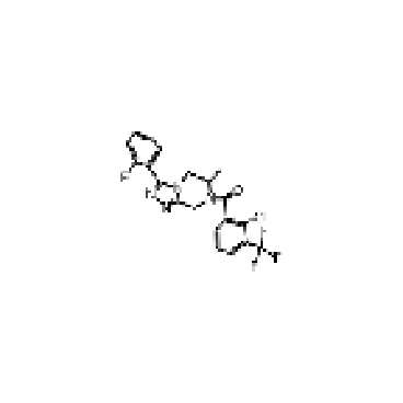 CC1Cn2c(nnc2-c2ccccc2F)CN1C(=O)c1cccc(C(F)(F)F)c1Cl